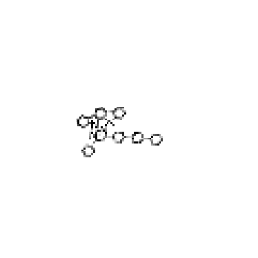 CC1(C)c2ccccc2-c2ccc3c4ccccc4n(-c4nc(-c5ccccc5)cc(-c5ccc(-c6ccc(-c7ccccc7)cc6)cc5)n4)c3c21